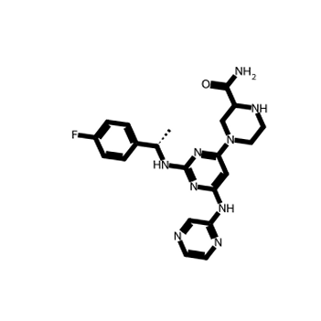 C[C@H](Nc1nc(Nc2cnccn2)cc(N2CCNC(C(N)=O)C2)n1)c1ccc(F)cc1